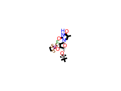 Cc1cn([C@@H]2O[C@H](CO[Si](C)(C)C(C)(C)C)[C@@H](OP3(=S)SCCS3)[C@H]2F)c(=O)[nH]c1=O